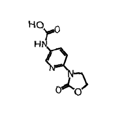 O=C(O)Nc1ccc(N2CCOC2=O)nc1